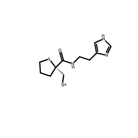 O=C(NCCc1c[nH]cn1)[C@@]1(CS)CCCS1